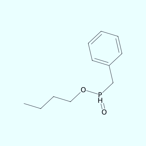 CCCCO[PH](=O)Cc1ccccc1